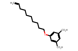 C=CCCCCCCCCOc1cc(C(=O)O)cc(C(=O)O)c1